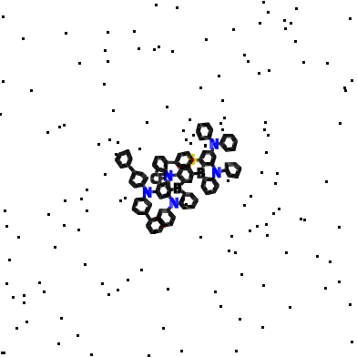 FC(F)(F)c1cccc(-c2ccccc2)c1N1c2cc3c(cc2B2c4ccccc4N(c4ccccc4)c4cc(N(c5ccc(-c6ccccc6)cc5)c5cccc(-c6ccccc6)c5)cc1c42)B1c2ccccc2N(c2ccccc2)c2cc(N(c4ccccc4)c4ccccc4)cc(c21)S3